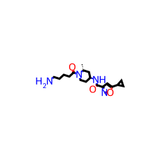 C[C@@H]1C[C@@H](NC(=O)c2cc(C3CC3)on2)CCN1C(=O)CCCCN